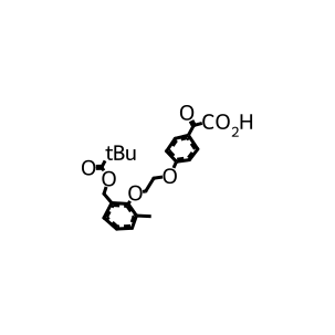 Cc1cccc(COC(=O)C(C)(C)C)c1OCCOc1ccc(C(=O)C(=O)O)cc1